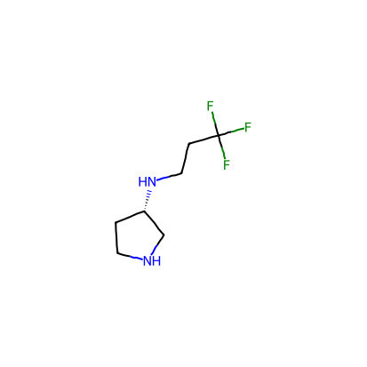 FC(F)(F)CCN[C@H]1CCNC1